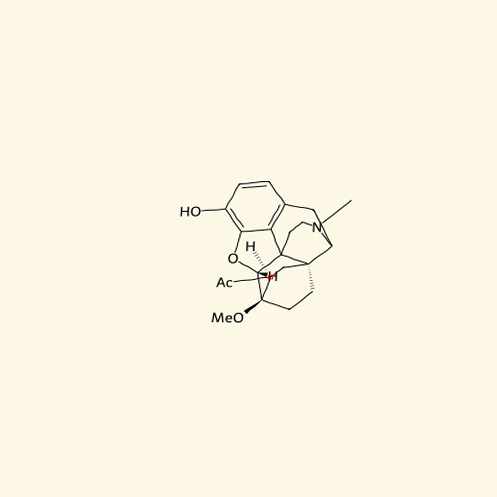 CO[C@]12CC[C@@]3(C[C@@H]1C(C)=O)C1Cc4ccc(O)c5c4C3(CCN1C)[C@H]2O5